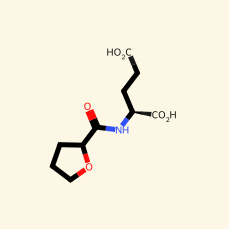 O=C(O)CC[C@H](NC(=O)C1CCCO1)C(=O)O